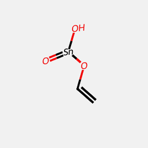 C=C[O][Sn](=[O])[OH]